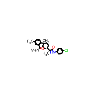 CNC(=O)c1cc(C(F)(F)F)ccc1[C@]1(C)CC[C@H]([C@H](C)C(=O)Nc2ccc(Cl)cc2)CC1